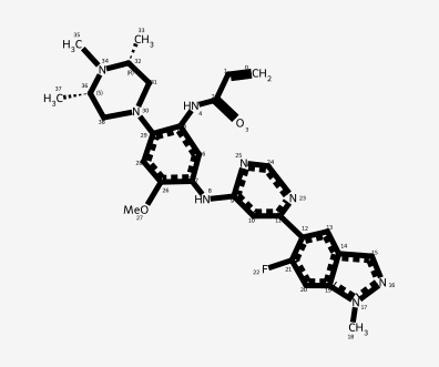 C=CC(=O)Nc1cc(Nc2cc(-c3cc4cnn(C)c4cc3F)ncn2)c(OC)cc1N1C[C@@H](C)N(C)[C@@H](C)C1